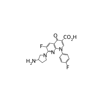 NC1CCN(c2nc3c(cc2F)c(=O)c(C(=O)O)cn3-c2ccc(F)cc2)C1